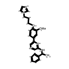 COc1cc(-c2cncc(NC(C)c3ccccc3)n2)ccc1OCCCn1ccnc1